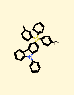 CCc1ccc(S(C2=CC(C)CC=C2)(C2=CC=CCC2)c2ccc3c(c2)c2ccccc2n3-c2ccccc2)cc1